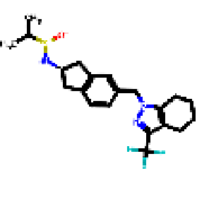 CC(C)[S+]([O-])N[C@@H]1Cc2ccc(Cn3nc(C(F)(F)F)c4c3CCCC4)cc2C1